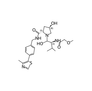 COCC(=O)N[C@@H](C(C)C)C(O)N1C[C@H](O)C[C@H]1C(=O)NCc1ccc(-c2scnc2C)cc1